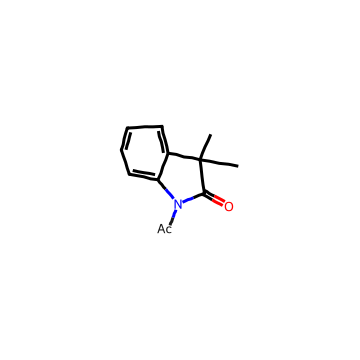 CC(=O)N1C(=O)C(C)(C)c2ccccc21